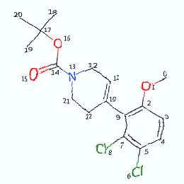 COc1ccc(Cl)c(Cl)c1C1=CCN(C(=O)OC(C)(C)C)CC1